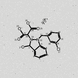 [K+].[K+].[O]C1c2ccccc2N(Cc2cccc(Cl)c2)N1C(C(=O)[O-])C(=O)[O-]